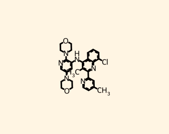 Cc1ccnc(-c2nc3c(Cl)cccc3c(Nc3cc(N4CCOCC4)cnc3N3CCOCC3)c2C)c1